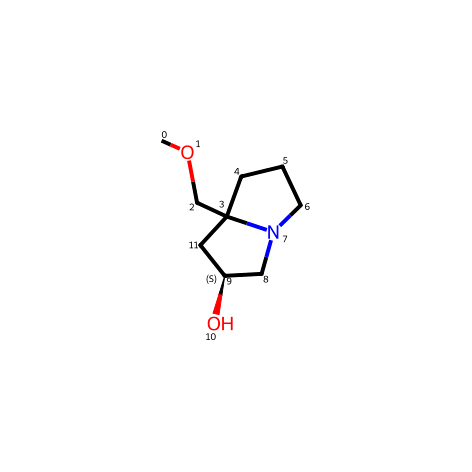 COCC12CCCN1C[C@@H](O)C2